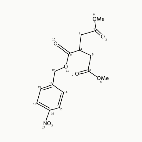 COC(=O)CC(CC(=O)OC)C(=O)OCc1ccc([N+](=O)[O-])cc1